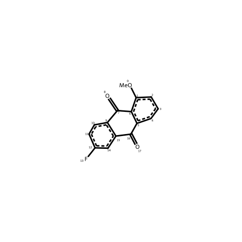 COc1cccc2c1C(=O)c1ccc(F)cc1C2=O